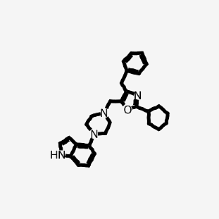 c1ccc(Cc2nc(C3CCCCC3)oc2CN2CCN(c3cccc4[nH]ccc34)CC2)cc1